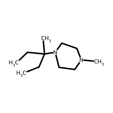 CCC(C)(CC)N1CCN(C)CC1